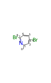 CC1C=C(Br)C=CC(Br)=N1